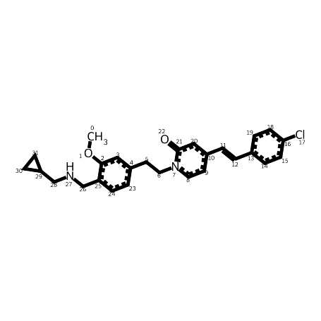 COc1cc(CCn2ccc(C=Cc3ccc(Cl)cc3)cc2=O)ccc1CNCC1CC1